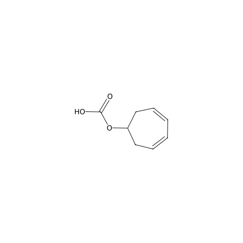 O=C(O)OC1CC=CC=CC1